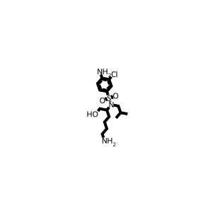 CC(C)CN(C(CO)CCCCN)S(=O)(=O)c1ccc(N)c(Cl)c1